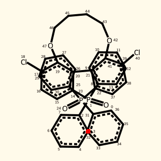 O=P(c1ccccc1)(c1ccccc1)c1ccc(Cl)c2c1-c1c(P(=O)(c3ccccc3)c3ccccc3)ccc(Cl)c1OCCCCO2